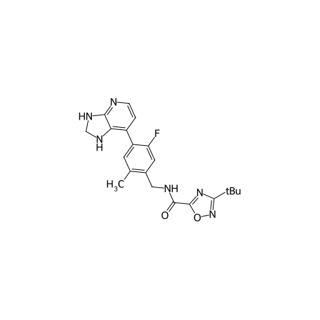 Cc1cc(-c2ccnc3c2NCN3)c(F)cc1CNC(=O)c1nc(C(C)(C)C)no1